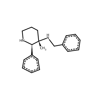 C[C@]1(NCc2ccccc2)CCCN[C@@H]1c1ccccc1